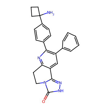 NC1(c2ccc(-c3nc4c(cc3-c3ccccc3)-c3n[nH]c(=O)n3CC4)cc2)CCC1